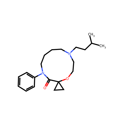 CC(C)CCN1CCCCN(c2ccccc2)C(=O)C2(CC2)OCC1